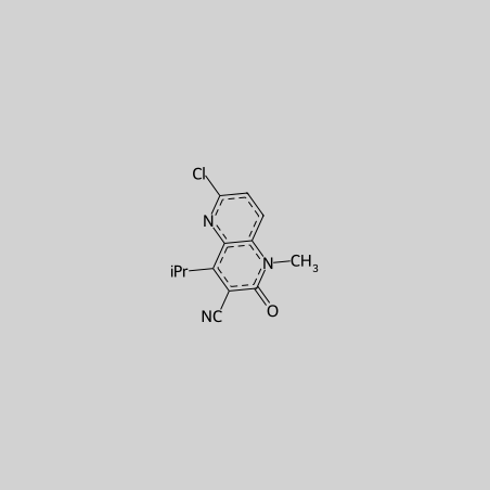 CC(C)c1c(C#N)c(=O)n(C)c2ccc(Cl)nc12